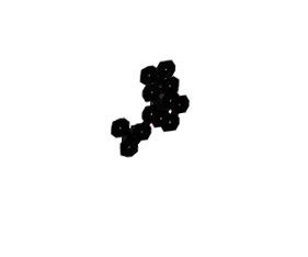 c1ccc(-c2cccc3cccc(-c4ccccc4N(c4ccc(-c5ccc6c7ccccc7n(-c7ccccc7)c6c5)cc4)c4cccc5c4-c4ccccc4C5(c4ccccc4)c4ccccc4)c23)cc1